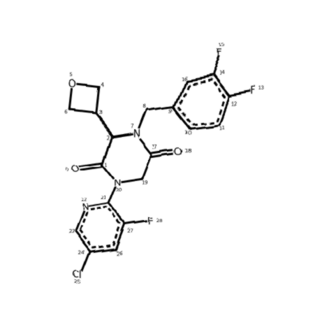 O=C1C(C2COC2)N(Cc2ccc(F)c(F)c2)C(=O)CN1c1ncc(Cl)cc1F